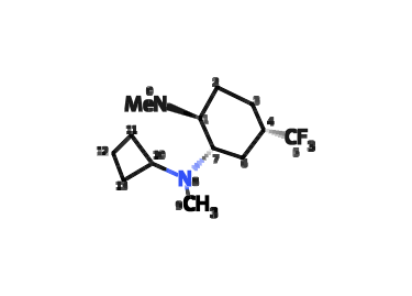 CN[C@H]1CC[C@H](C(F)(F)F)C[C@@H]1N(C)C1CCC1